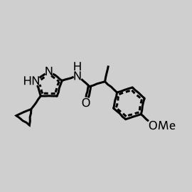 COc1ccc(C(C)C(=O)Nc2cc(C3CC3)[nH]n2)cc1